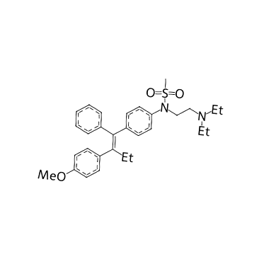 CCC(=C(c1ccccc1)c1ccc(N(CCN(CC)CC)S(C)(=O)=O)cc1)c1ccc(OC)cc1